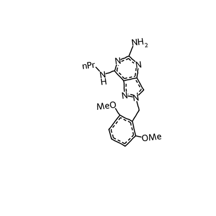 CCCNc1nc(N)nc2cn(Cc3c(OC)cccc3OC)nc12